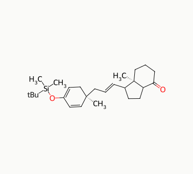 CC(C)(C)[Si](C)(C)OC1=CC[C@@](C)(CC=CC2CCC3C(=O)CCC[C@]23C)C=C1